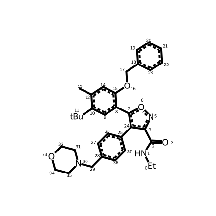 CCNC(=O)c1noc(-c2cc(C(C)(C)C)c(C)cc2OCc2ccccc2)c1-c1ccc(CN2CCOCC2)cc1